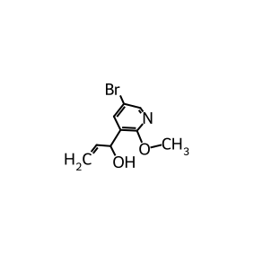 C=CC(O)c1cc(Br)cnc1OC